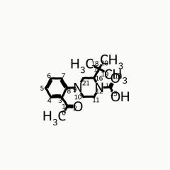 CC(=O)c1ccccc1N1CCN(C(=O)O)C(C(C)(C)C)C1